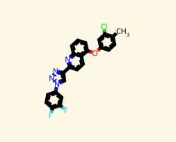 Cc1ccc(Oc2cccc3nc(-c4cn(-c5ccc(F)c(F)c5)nn4)ccc23)cc1Cl